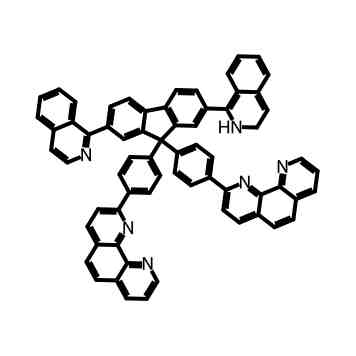 C1=c2ccccc2=C(c2ccc3c(c2)C(c2ccc(-c4ccc5ccc6cccnc6c5n4)cc2)(c2ccc(-c4ccc5ccc6cccnc6c5n4)cc2)c2cc(-c4nccc5ccccc45)ccc2-3)NC1